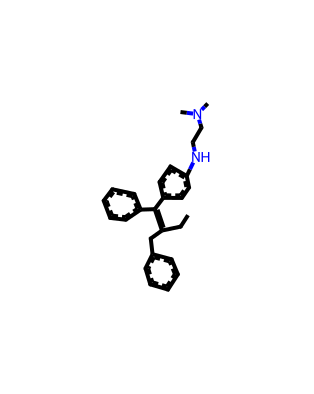 CCC(Cc1ccccc1)=C(c1ccccc1)c1ccc(NCCN(C)C)cc1